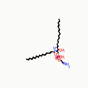 CCCCCCCCCCCCCC=CC(O)C(COP(=O)(O)OCCN)NC(=O)CCCCCCCCCCCCCCC